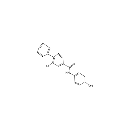 O=C(Nc1ccc(O)cc1)c1ccc(-c2ccccc2)c(Cl)c1